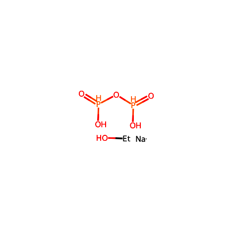 CCO.O=[PH](O)O[PH](=O)O.[Na]